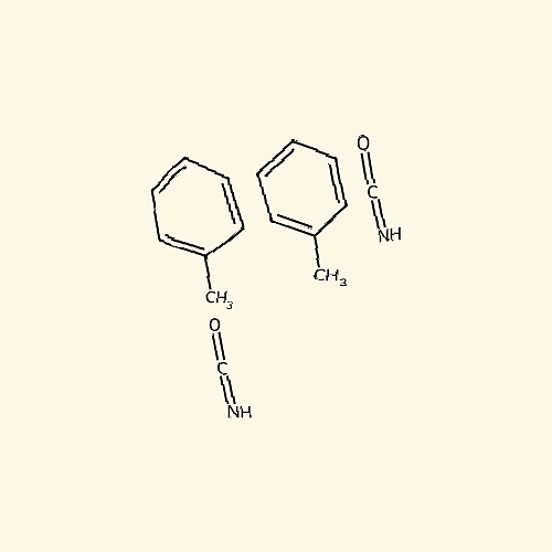 Cc1ccccc1.Cc1ccccc1.N=C=O.N=C=O